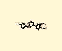 COc1ccc(-c2ccnc(Nc3ccc(N)cc3)n2)cc1N